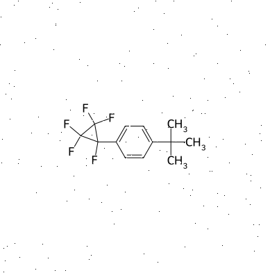 CC(C)(C)c1ccc(C2(F)C(F)(F)C2(F)F)cc1